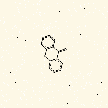 O=C1c2ccccc2[N]c2ncccc21